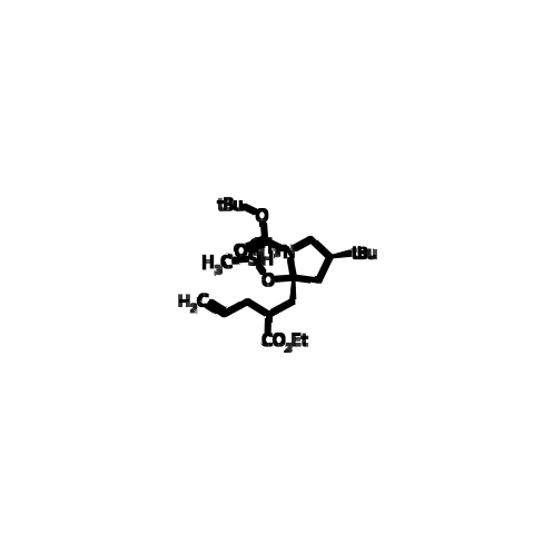 C=CCC(C[C@]1(O[SiH](C)C)C[C@H](C(C)(C)C)CN1C(=O)OC(C)(C)C)C(=O)OCC